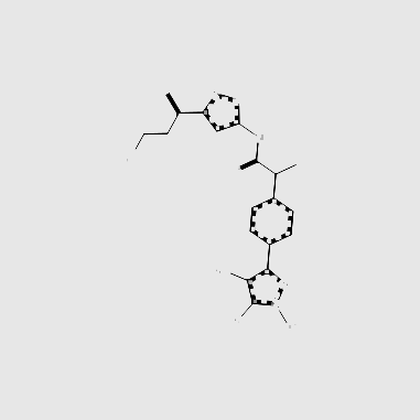 C=C(CCC(F)(F)F)c1cc(NC(=O)C(C)c2ccc(-c3nn(C(C)C)c(N)c3C#N)cc2)on1